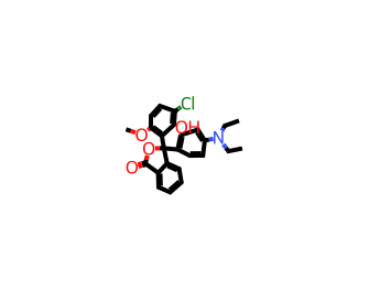 CCN(CC)c1ccc(C2(c3cc(Cl)ccc3OC)OC(=O)c3ccccc32)c(O)c1